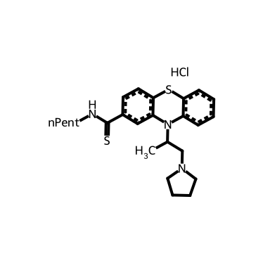 CCCCCNC(=S)c1ccc2c(c1)N(C(C)CN1CCCC1)c1ccccc1S2.Cl